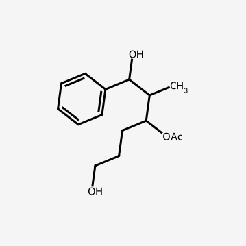 CC(=O)OC(CCCO)C(C)C(O)c1ccccc1